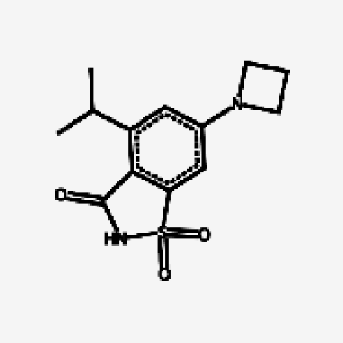 CC(C)c1cc(N2CCC2)cc2c1C(=O)NS2(=O)=O